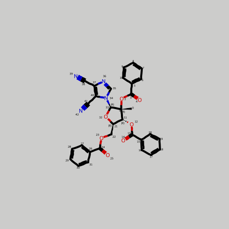 C[C@@]1(OC(=O)c2ccccc2)[C@H](OC(=O)c2ccccc2)[C@@H](COC(=O)c2ccccc2)O[C@H]1n1cnc(C#N)c1C#N